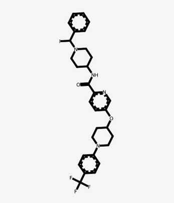 O=C(NC1CCN(C(I)c2ccccc2)CC1)c1ccc(OC2CCN(c3ccc(C(F)(F)F)cc3)CC2)cn1